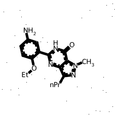 CCCc1nn(C)c2c(=O)[nH]c(-c3cc(N)ccc3OCC)nc12